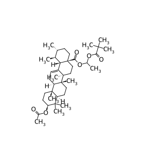 CC(=O)O[C@H]1CC[C@]2(C)[C@H]3CC=C4[C@@H]5[C@@H](C)[C@H](C)CC[C@]5(C(=O)OC(C)OC(=O)C(C)(C)C)CC[C@@]4(C)[C@]3(C)CC[C@H]2C1(C)C